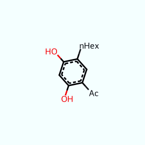 CCCCCCc1cc(C(C)=O)c(O)cc1O